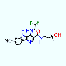 CC(C)(O)CCNC(=O)c1cnc2c([nH]c3cc(C#N)ccc32)c1NCC(F)F